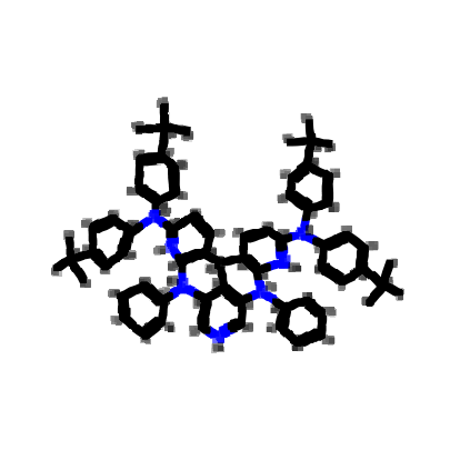 CC(C)(C)c1ccc(N(c2ccc(C(C)(C)C)cc2)c2ccc3c(n2)N(c2ccccc2)c2cncc4c2B3c2ccc(N(c3ccc(C(C)(C)C)cc3)c3ccc(C(C)(C)C)cc3)nc2N4c2ccccc2)cc1